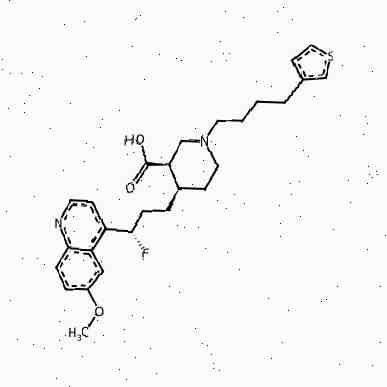 COc1ccc2nccc([C@@H](F)CC[C@@H]3CCN(CCCCc4ccsc4)C[C@@H]3C(=O)O)c2c1